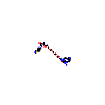 Cc1ncsc1-c1ccc(CNC(=O)[C@@H]2C[C@@H](O)CN2C(=O)[C@@H](NC(=O)COCCOCCOCCOCCOCCOCC(F)CNC(=O)c2cnc(Nc3ccc4cnccc4n3)cc2NC2CC2)C(C)(C)C)cc1